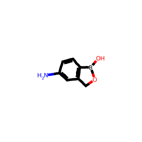 Nc1ccc2c(c1)COB2O